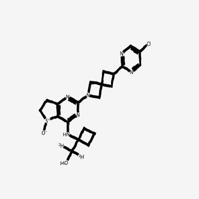 [2H]C([2H])(O)C1(Nc2nc(N3CC4(CC(c5ncc(Cl)cn5)C4)C3)nc3c2[S+]([O-])CC3)CCC1